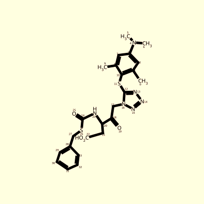 Cc1cc(N(C)C)cc(C)c1Sc1nnnn1CC(=O)C(CC(=O)O)NC(=O)SCc1ccccc1